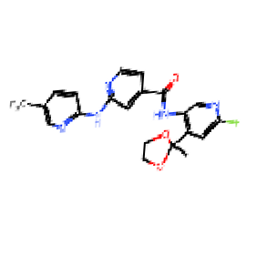 CC1(c2cc(F)ncc2NC(=O)c2ccnc(Nc3ccc(C(F)(F)F)cn3)c2)OCCO1